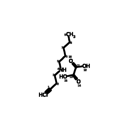 C#CCCNCCCCC.O=C(O)C(=O)O